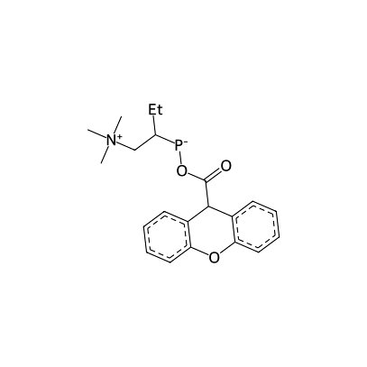 CCC(C[N+](C)(C)C)[P-]OC(=O)C1c2ccccc2Oc2ccccc21